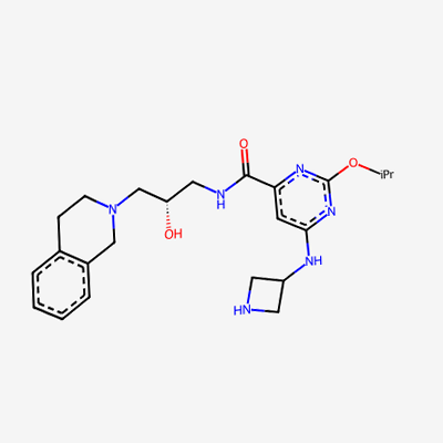 CC(C)Oc1nc(NC2CNC2)cc(C(=O)NC[C@H](O)CN2CCc3ccccc3C2)n1